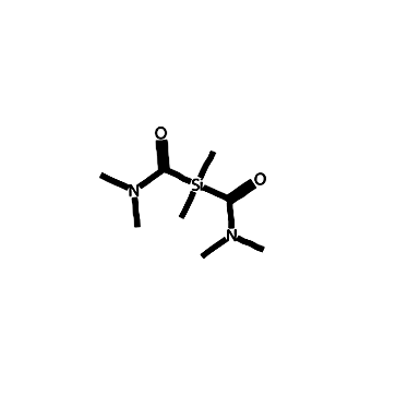 CN(C)C(=O)[Si](C)(C)C(=O)N(C)C